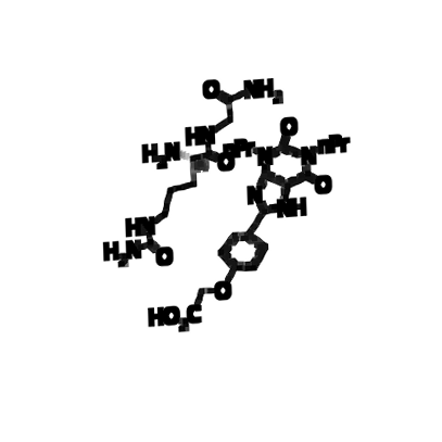 CCCn1c(=O)c2[nH]c(-c3ccc(OCC(=O)O)cc3)nc2n(CCC)c1=O.NC(=O)CNC(=O)[C@@H](N)CCCNC(N)=O